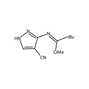 CCCCC(=Nc1n[nH]cc1C#N)OC